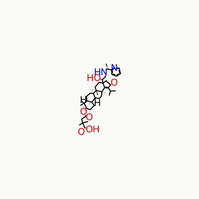 CC(C)C1=C2C(C(O)CN[C@@H](C)c3ccccn3)(CC[C@]3(C)[C@]2(C)CC[C@@H]2[C@@]4(C)CC[C@H](OC(=O)CC(C)(C)C(=O)O)C(C)(C)[C@@H]4CC[C@]23C)CC1=O